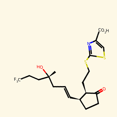 C[C@@](O)(C/C=C/[C@@H]1CCC(=O)[C@@H]1CCSc1nc(C(=O)O)cs1)CCC(F)(F)F